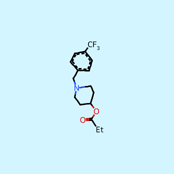 CCC(=O)OC1CCN(Cc2ccc(C(F)(F)F)cc2)CC1